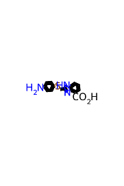 Nc1ccc(SCc2nc3c(C(=O)O)cccc3[nH]2)cc1